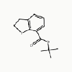 CC(C)(C)OC(=O)c1cccc2c1SCC2